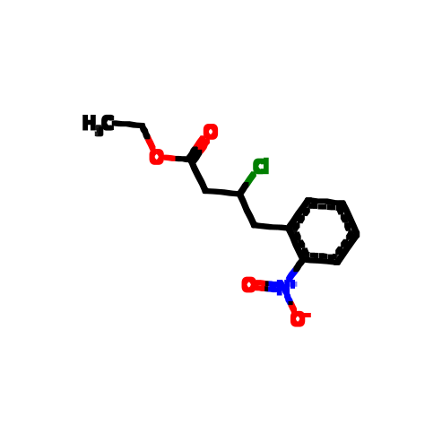 CCOC(=O)CC(Cl)Cc1ccccc1[N+](=O)[O-]